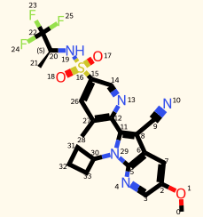 COc1cnc2c(c1)c(C#N)c(-c1ncc(S(=O)(=O)N[C@@H](C)C(F)(F)F)cc1C)n2C1CCC1